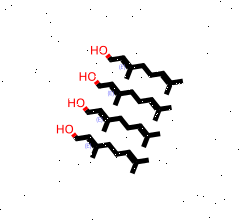 CC(C)=CCC/C(C)=C/CO.CC(C)=CCC/C(C)=C/CO.CC(C)=CCC/C(C)=C/CO.CC(C)=CCC/C(C)=C/CO